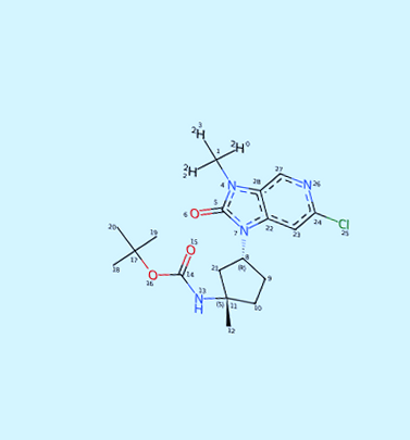 [2H]C([2H])([2H])n1c(=O)n([C@@H]2CC[C@](C)(NC(=O)OC(C)(C)C)C2)c2cc(Cl)ncc21